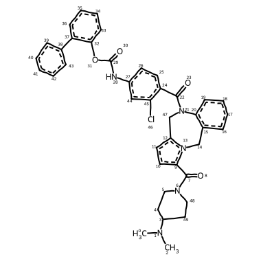 CN(C)C1CCN(C(=O)c2ccc3n2Cc2ccccc2N(C(=O)c2ccc(NC(=O)Oc4ccccc4-c4ccccc4)cc2Cl)C3)CC1